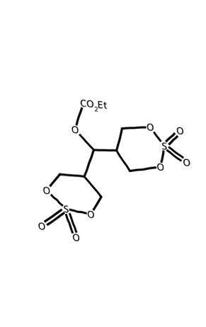 CCOC(=O)OC(C1COS(=O)(=O)OC1)C1COS(=O)(=O)OC1